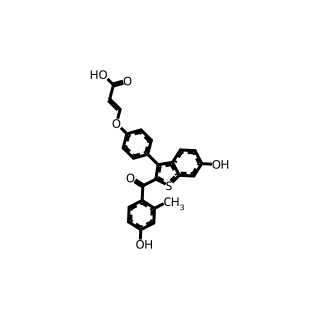 Cc1cc(O)ccc1C(=O)c1sc2cc(O)ccc2c1-c1ccc(O/C=C/C(=O)O)cc1